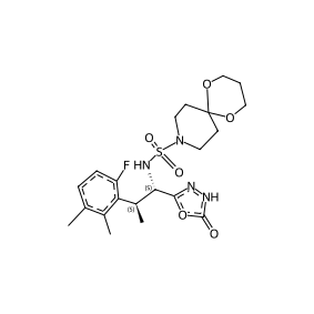 Cc1ccc(F)c([C@H](C)[C@H](NS(=O)(=O)N2CCC3(CC2)OCCCO3)c2n[nH]c(=O)o2)c1C